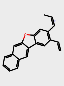 C=Cc1cc2c(cc1/C=C\C)oc1cc3ccccc3cc12